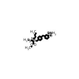 CCCCc1nc(SC)c(C(=O)OCC)n1Cc1ccc(Cc2cccc(S(N)(=O)=O)c2)cc1